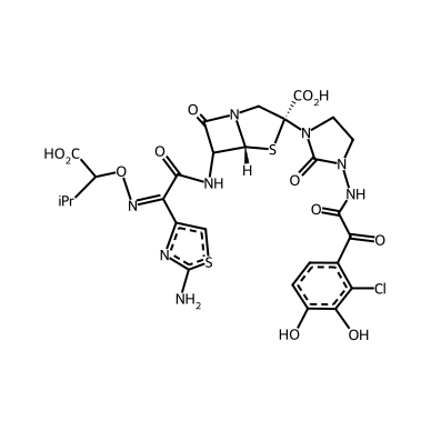 CC(C)C(O/N=C(\C(=O)NC1C(=O)N2C[C@@](C(=O)O)(N3CCN(NC(=O)C(=O)c4ccc(O)c(O)c4Cl)C3=O)S[C@H]12)c1csc(N)n1)C(=O)O